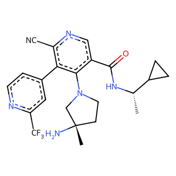 C[C@H](NC(=O)c1cnc(C#N)c(-c2ccnc(C(F)(F)F)c2)c1N1CC[C@](C)(N)C1)C1CC1